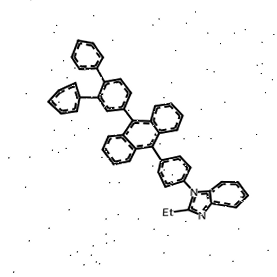 CCc1nc2ccccc2n1-c1ccc(-c2c3ccccc3c(-c3ccc(-c4ccccc4)c(-c4ccccc4)c3)c3ccccc23)cc1